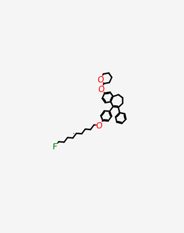 FCCCC[CH]CCCCOc1ccc(C2=C(c3ccccc3)CCCc3cc(OC4CCCCO4)ccc32)cc1